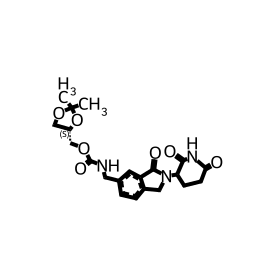 CC1(C)OC[C@@H](COC(=O)NCc2ccc3c(c2)C(=O)N(C2CCC(=O)NC2=O)C3)O1